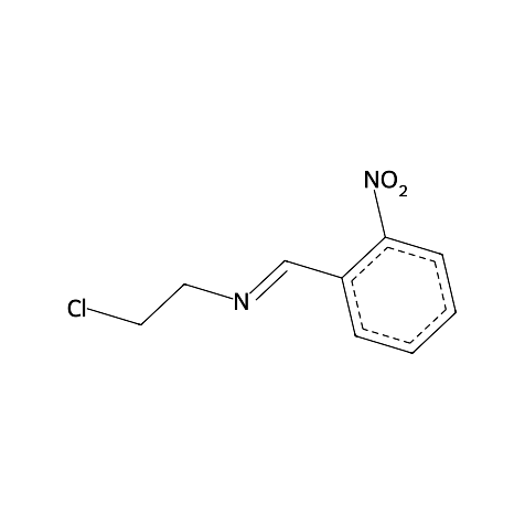 O=[N+]([O-])c1ccccc1C=NCCCl